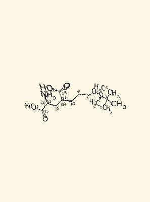 CC(C)(C)[Si](C)(C)OCCC[C@@H](C[C@H](N)C(=O)O)C(=O)O